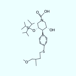 COCC(C)CCSc1ccc([C@@H]2[C@@H](O)CN(C(=O)O)C[C@H]2O[Si](C(C)C)(C(C)C)C(C)C)cc1